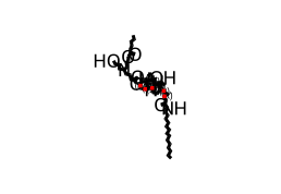 CCCCCCCCCCCCCCNC(=O)CC[C@@H](C)[C@H]1CC[C@H]2[C@@H]3[C@H](O)[C@H](CC)[C@@H]4C[C@H](OC(=O)CCCN(CCCO)CCCOC(=O)CCCCC)CC[C@]4(C)[C@H]3CC[C@]12C